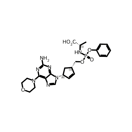 C[C@H](NP(=O)(OC[C@@H]1C=C[C@H](n2cnc3c(N4CCOCC4)nc(N)nc32)C1)Oc1ccccc1)C(=O)O